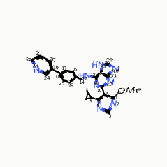 COc1ncnc(C2CC2)c1-c1nc(NCc2ccc(-c3cccnc3)cc2)c2[nH]cnc2n1